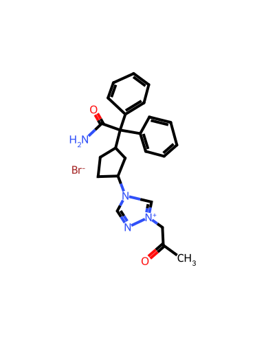 CC(=O)C[n+]1cn(C2CCC(C(C(N)=O)(c3ccccc3)c3ccccc3)C2)cn1.[Br-]